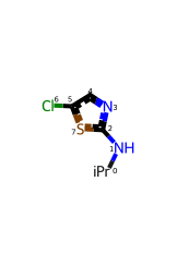 CC(C)Nc1ncc(Cl)s1